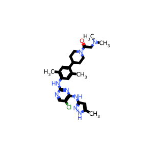 Cc1cc(Nc2nc(Nc3cc(C)c(C4CCN(C(=O)CN(C)C)CC4)cc3C)ncc2Cl)n[nH]1